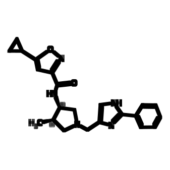 C[C@@H]1CN(Cc2c[nH]c(-c3ccccc3)n2)C[C@@H]1NC(=O)c1cc(C2CC2)on1